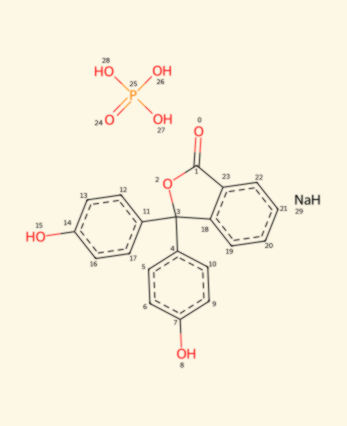 O=C1OC(c2ccc(O)cc2)(c2ccc(O)cc2)c2ccccc21.O=P(O)(O)O.[NaH]